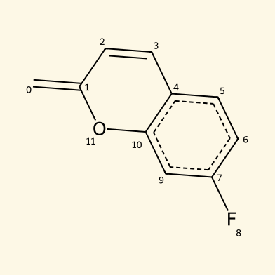 C=C1C=Cc2ccc(F)cc2O1